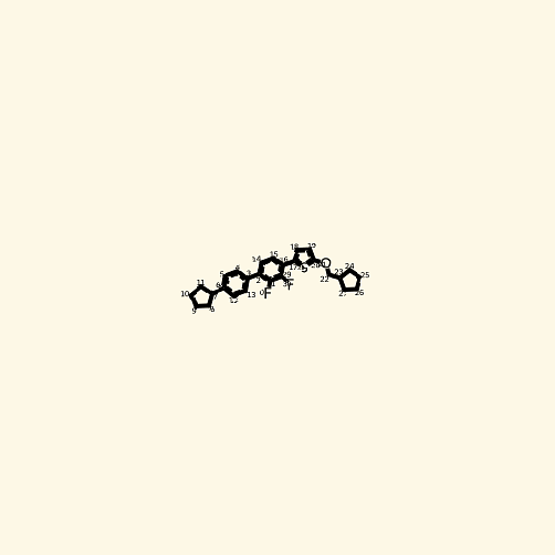 Fc1c(-c2ccc(C3CCCC3)cc2)ccc(-c2ccc(OCC3CCCC3)s2)c1F